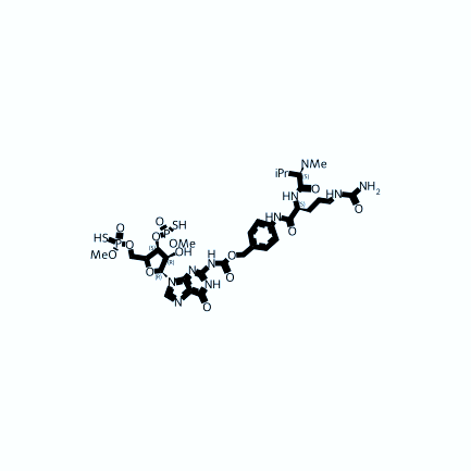 CN[C@H](C(=O)N[C@@H](CCCNC(N)=O)C(=O)Nc1ccc(COC(=O)Nc2nc3c(ncn3[C@@H]3OC(COP(=O)(S)OC)[C@@H](OP(=O)(S)OC)[C@H]3O)c(=O)[nH]2)cc1)C(C)C